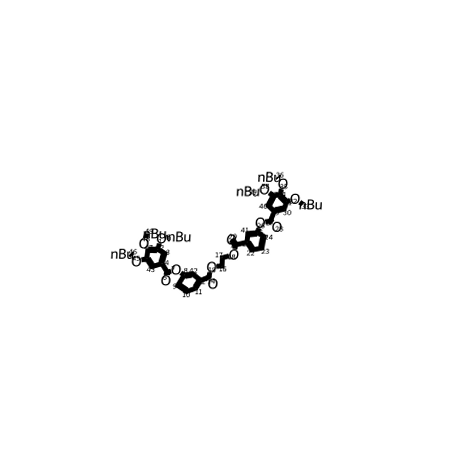 CCCCOc1cc(C(=O)Oc2cccc(C(=O)OCCOC(=O)c3cccc(OC(=O)c4cc(OCCCC)c(OCCCC)c(OCCCC)c4)c3)c2)cc(OCCCC)c1OCCCC